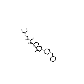 CCN(CC)CCNC(=S)Nc1ccc2cc(N3CCN(CC4CCCCC4)CC3)cc(C)c2c1